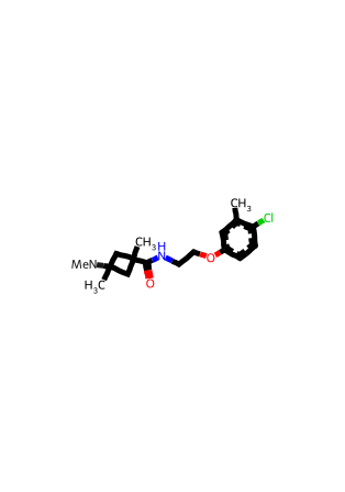 CNC1(C)CC(C)(C(=O)NCCOc2ccc(Cl)c(C)c2)C1